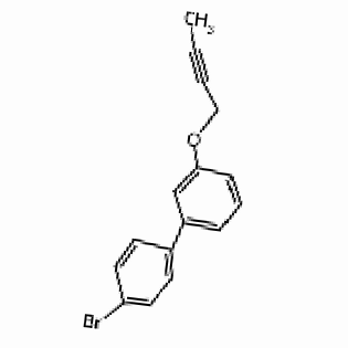 CC#CCOc1cccc(-c2ccc(Br)cc2)c1